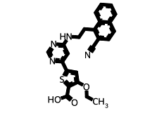 CCOc1cc(-c2cc(NCCc3c(C#N)ccc4ccccc34)ncn2)sc1C(=O)O